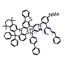 C=C/C=C(Nc1ccc(-c2ccccc2)cc1)\C(=C/Nc1ccc(NC)cc1C(/C=C\C)=C/C=C/c1ccccc1)c1c2c(cc3c1sc1ccccc13)N1c3cc4c(cc3C(C3=CCCC=C3)(c3ccccc3)c3cccc(c31)S2)C(C)(C)CCC4(C)C